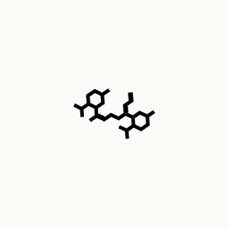 C=C/C=C(/CC/C=C(/C)C1CC(C)CCC1C(C)C)C1CC(C)CCC1C(C)C